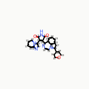 O=C1NC(=O)C(c2cnc3ccccn23)=C1C1=NC=CN2c3c(cccc31)CC2C1CCOCC1